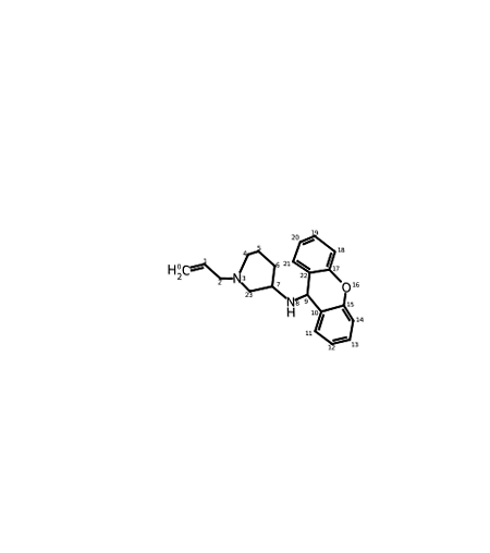 C=CCN1CCCC(NC2c3ccccc3Oc3ccccc32)C1